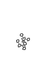 c1ccc(-c2cccc(-n3c4ccccc4c4ccc5c(oc6nc(-c7ccccc7)nc(-c7ccccc7)c65)c43)c2)cc1